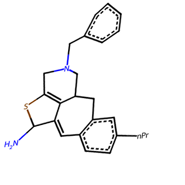 CCCc1ccc2c(c1)CC1CN(Cc3ccccc3)CC3=C1C(=C2)C(N)S3